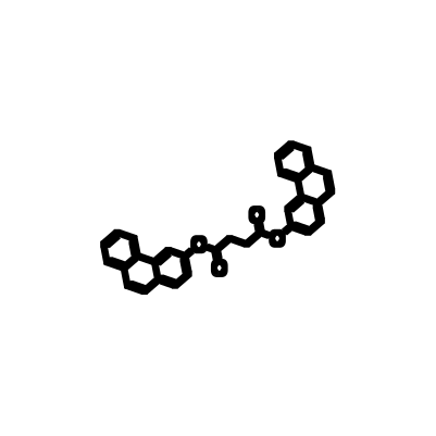 O=C(CCC(=O)Oc1ccc2ccc3ccccc3c2c1)Oc1ccc2ccc3ccccc3c2c1